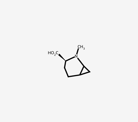 CN1C2CC2CC[C@H]1C(=O)O